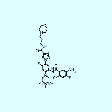 Cc1c(F)c(N)cc(C(=O)Nc2cc(-n3cc(C(=O)NCCCN4CCOCC4)nn3)c(F)cc2N2C[C@@H](C)N(C)[C@@H](C)C2)c1Cl